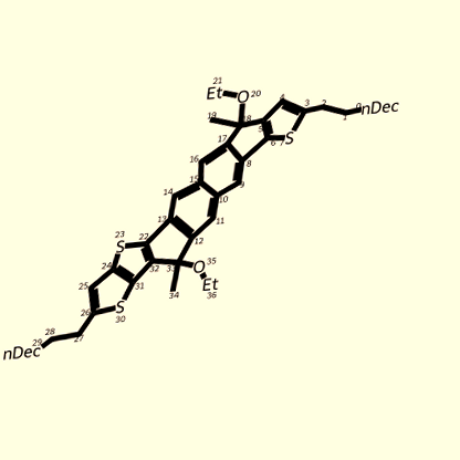 CCCCCCCCCCCCc1cc2c(s1)-c1cc3cc4c(cc3cc1C2(C)OCC)-c1sc2cc(CCCCCCCCCCCC)sc2c1C4(C)OCC